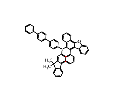 CC1(C)c2ccccc2-c2ccc(N(c3ccc(-c4ccc(-c5ccccc5)cc4)cc3)c3c(-c4ccccc4)c4c5ccccc5oc4c4ccccc34)cc21